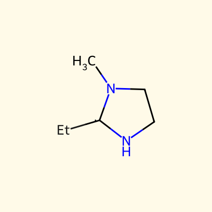 CC[C]1NCCN1C